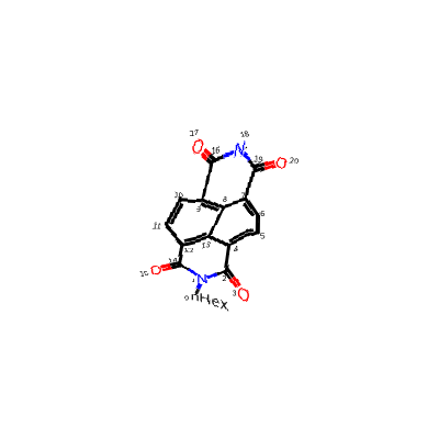 CCCCCCN1C(=O)c2ccc3c4c(ccc(c24)C1=O)C(=O)[N]C3=O